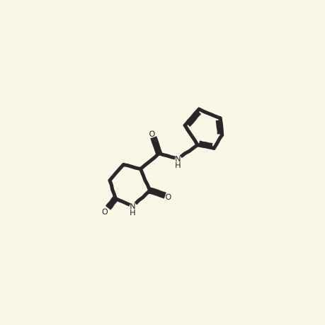 O=C1CCC(C(=O)Nc2ccccc2)C(=O)N1